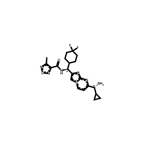 Cc1nonc1C(=O)N[C@H](c1cn2ccc([C@H](N)C3CC3)nc2n1)C1CCC(F)(F)CC1